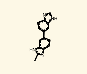 Cc1nc2ccc(-c3ccc4nc[nH]c4c3)cc2[nH]1